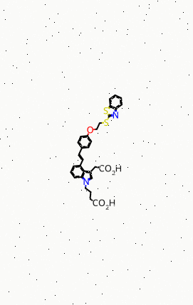 O=C(O)CCCn1cc(CC(=O)O)c2c(C=Cc3ccc(OCCSc4nc5ccccc5s4)cc3)cccc21